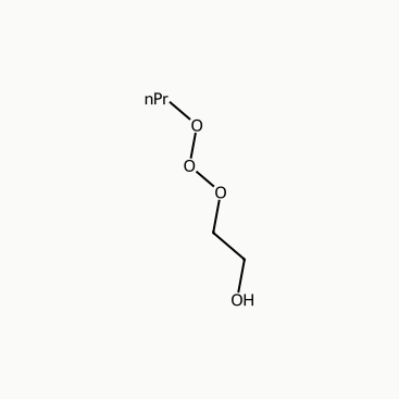 CCCOOOCCO